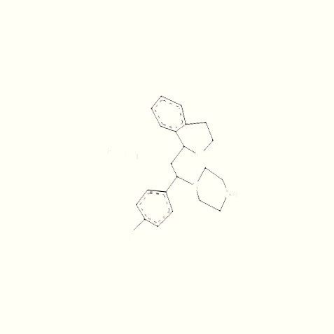 Cl.Cl.Oc1ccc(C(CC2OCCc3ccccc32)N2CCNCC2)cc1